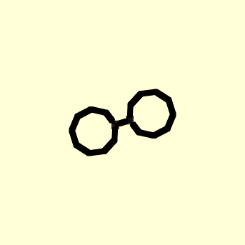 C1CCCCN(N2CCCCCCCC2)CCC1